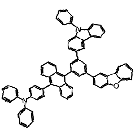 c1ccc(N(c2ccccc2)c2ccc(-c3c4ccccc4c(-c4cc(-c5ccc6oc7ccccc7c6c5)cc(-c5ccc6c(c5)c5ccccc5n6-c5ccccc5)c4)c4ccccc34)cc2)cc1